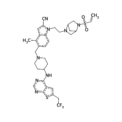 C=CS(=O)(=O)N1CC2CC1CN2CCn1c(C#N)cc2c(C)c(CN3CCC(Nc4ncnc5sc(CC(F)(F)F)cc45)CC3)ccc21